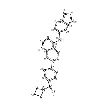 O=C(c1ccc(-c2ccc3c(Nc4ccc5scnc5c4)ccnc3c2)cc1)N1CCC1